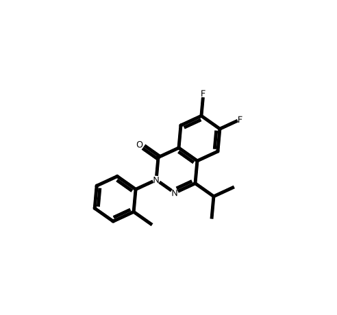 Cc1ccccc1-n1nc(C(C)C)c2cc(F)c(F)cc2c1=O